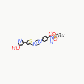 CC(C)(C)S(=O)(=O)NC(=O)c1ccc(N2CCN(Cc3cc(-c4cncc(O)c4)cs3)CC2)cc1